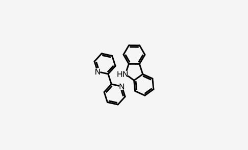 c1ccc(-c2ccccn2)nc1.c1ccc2c(c1)[nH]c1ccccc12